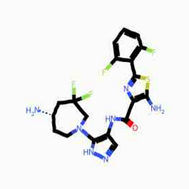 Nc1sc(-c2c(F)cccc2F)nc1C(=O)Nc1cn[nH]c1N1CC[C@H](N)CC(F)(F)C1